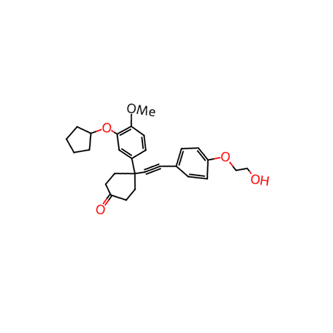 COc1ccc(C2(C#Cc3ccc(OCCO)cc3)CCC(=O)CC2)cc1OC1CCCC1